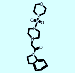 O=C(CN1CCN(S(=O)(=O)N2CCOCC2)CC1)N1CCc2ccccc21